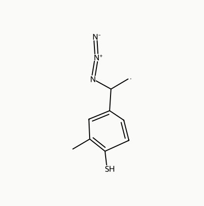 [CH2]C(N=[N+]=[N-])c1ccc(S)c(C)c1